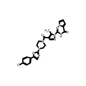 Cc1c(C(=O)N2CCN(c3ncc(-c4ccc(Cl)cc4)o3)CC2)cnn1-c1nn2cccc2c(=O)[nH]1